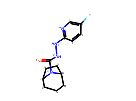 O=C(NNc1ccc(F)cn1)N1C2CCCC1CC2